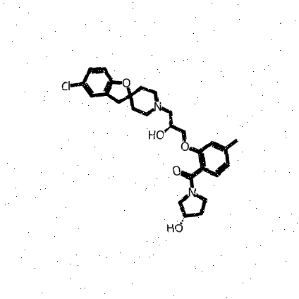 Cc1ccc(C(=O)N2CC[C@H](O)C2)c(OC[C@@H](O)CN2CCC3(CC2)Cc2cc(Cl)ccc2O3)c1